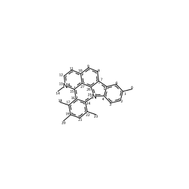 Cc1ccc2c(c1)c1ccc3cc[n+](C)c4c5c(C)c(C)cc(C)c5n2c1c34